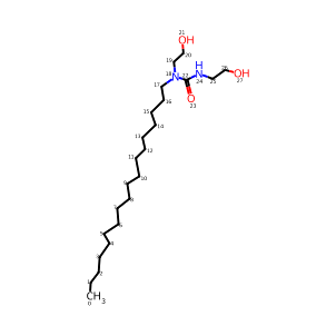 CCCCCCCCCCCCCCCCCCN(CCO)C(=O)NCCO